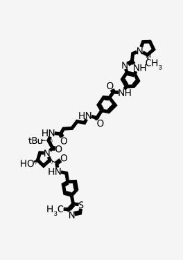 Cc1ncsc1-c1ccc(CNC(=O)[C@@H]2C[C@@H](O)CN2C(=O)[C@@H](NC(=O)CCCCNC(=O)c2ccc(C(=O)Nc3ccc4[nH]c(CN5CCC[C@@H]5C)nc4c3)cc2)C(C)(C)C)cc1